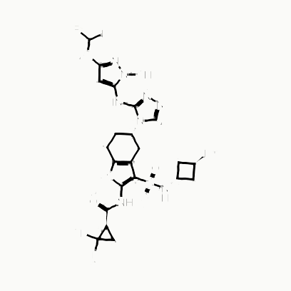 Cn1nc(OC(F)F)cc1Nc1nncn1[C@H]1CCc2sc(NC(=O)[C@H]3CC3(F)F)c(S(=O)(=O)N[C@H]3C[C@H](F)C3)c2C1